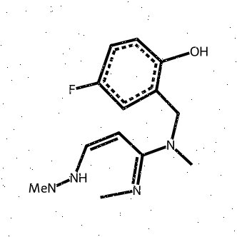 C/N=C(\C=C/NNC)N(C)Cc1cc(F)ccc1O